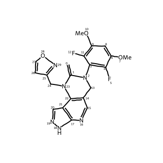 C=C1N(c2c(F)c(OC)cc(OC)c2F)Cc2cnc3[nH]ncc3c2N1Cc1ccon1